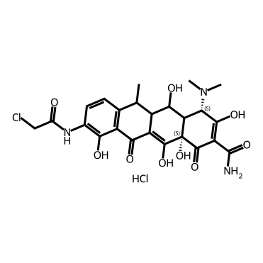 CC1c2ccc(NC(=O)CCl)c(O)c2C(=O)C2=C(O)[C@]3(O)C(=O)C(C(N)=O)=C(O)[C@@H](N(C)C)C3C(O)C21.Cl